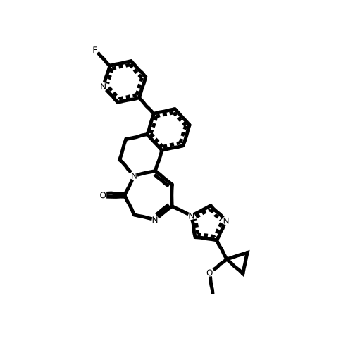 COC1(c2cn(C3=NCC(=O)N4CCc5c(cccc5-c5ccc(F)nc5)C4=C3)cn2)CC1